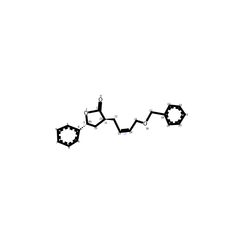 O=C1O[C@@H](c2ccccc2)C[C@@H]1C/C=C\COCc1ccccc1